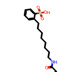 C=CC(=O)NCCCCCCCCc1ccccc1S(=O)(=O)O